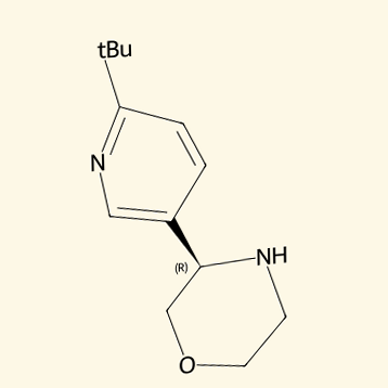 CC(C)(C)c1ccc([C@@H]2COCCN2)cn1